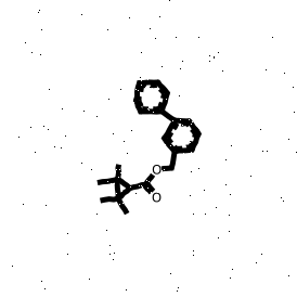 CC1(C)C(C(=O)OCc2cccc(-c3ccccc3)c2)C1(C)C